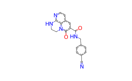 N#Cc1ccc(CNC(=O)c2cc3ccnc4c3n(c2=O)CCN4)cc1